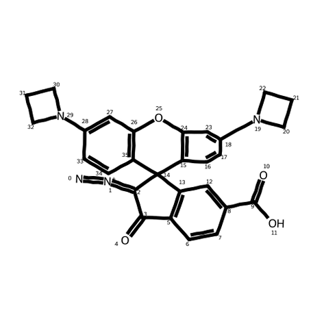 [N-]=[N+]=C1C(=O)c2ccc(C(=O)O)cc2C12c1ccc(N3CCC3)cc1Oc1cc(N3CCC3)ccc12